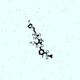 NC(=O)c1c(OCc2ccc(F)c(C(=O)NC3CC3)c2)nsc1NC(=O)NCCCN1CC[C@H](F)C1